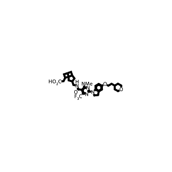 CNc1nc(N2CCc3cc(OCCC4CCOCC4)ccc32)nc(C(F)(F)F)c1C(=O)NCC1CC2CC3CC(CC(=O)O)C23C1